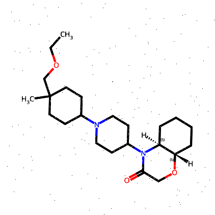 CCOCC1(C)CCC(N2CCC(N3C(=O)CO[C@H]4CCCC[C@@H]43)CC2)CC1